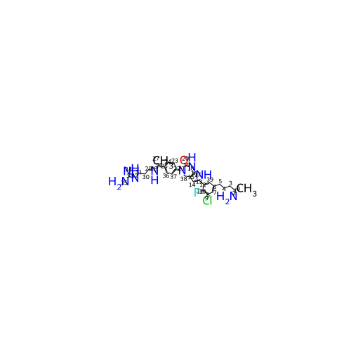 C[C@H](N)CCCc1cc(Cl)c(F)c(-c2cc3c([nH]2)NC(=O)N(c2ccc([C@H](C)NCCCNC(=N)N)cc2)C3)c1